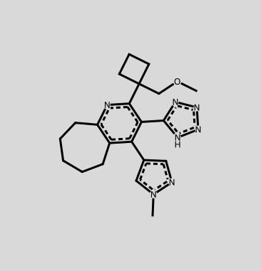 COCC1(c2nc3c(c(-c4cnn(C)c4)c2-c2nnn[nH]2)CCCCC3)CCC1